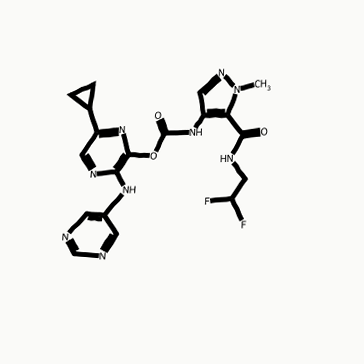 Cn1ncc(NC(=O)Oc2nc(C3CC3)cnc2Nc2cncnc2)c1C(=O)NCC(F)F